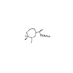 C=C(NC)C1CCC[C@H](C)C(C)C1